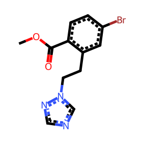 COC(=O)c1ccc(Br)cc1CCn1cncn1